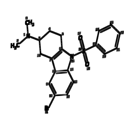 CN(C)C1CCc2c(c3cc(Br)ccc3n2S(=O)(=O)c2ccccc2)C1